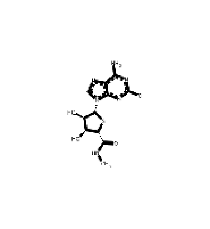 CNC(=O)[C@H]1S[C@@H](n2cnc3c(N)nc(Cl)nc32)[C@H](O)[C@@H]1O